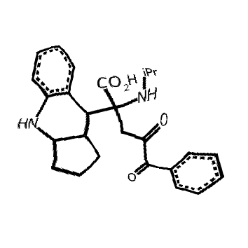 CC(C)NC(CC(=O)C(=O)c1ccccc1)(C(=O)O)C1c2ccccc2NC2CCCC21